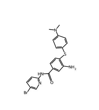 CN(C)c1ccc(Sc2ccc(C(=O)Nc3ccc(Br)cn3)cc2N)cc1